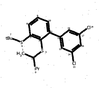 CC(C)C(C)Sc1c(SC(C)(C)C)cccc1-c1cc(Cl)cc(Cl)c1